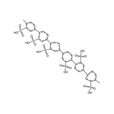 Cc1ccc(-c2ccc(-c3ccc(-c4ccc(-c5ccc(-c6ccc(C)c(S(=O)(=O)O)c6)c(S(=O)(=O)O)c5)c(S(=O)(=O)O)c4)cc3S(=O)(=O)O)c(S(=O)(=O)O)c2)cc1S(=O)(=O)O